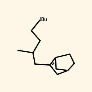 CCC(C)CCC(C)CC1=C2CCC(C2)C1